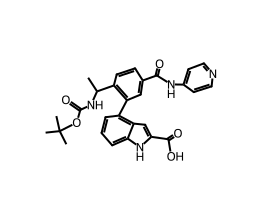 CC(NC(=O)OC(C)(C)C)c1ccc(C(=O)Nc2ccncc2)cc1-c1cccc2[nH]c(C(=O)O)cc12